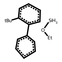 CC(C)(C)c1ccccc1-c1ccccc1.CCO[SiH3]